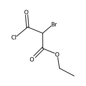 CCOC(=O)C(Br)C(=O)Cl